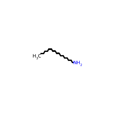 CCCCC\C=C/C=C/C=C/CCCCCCCN